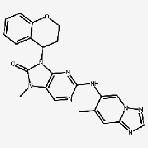 Cc1cc2ncnn2cc1Nc1ncc2c(n1)n([C@@H]1CCOc3ccccc31)c(=O)n2C